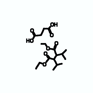 CCOC(=O)C(C(C)C)C(C(=O)OCC)C(C)C.O=C(O)CCC(=O)O